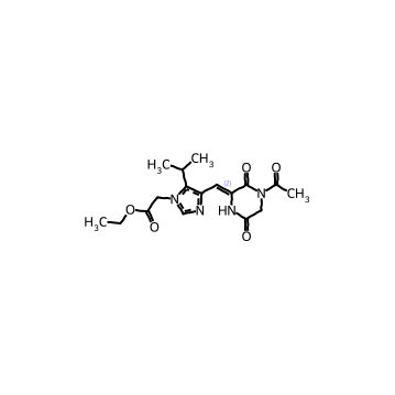 CCOC(=O)Cn1cnc(/C=C2\NC(=O)CN(C(C)=O)C2=O)c1C(C)C